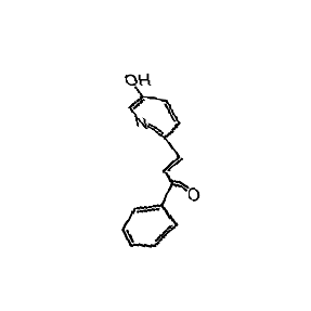 O=C(C=Cc1ccc(O)cn1)c1ccccc1